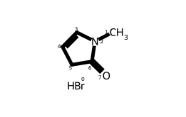 Br.CN1C=CCC1=O